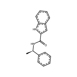 C[C@@H](NC(=O)c1cc2ccccc2[nH]1)c1ccccc1